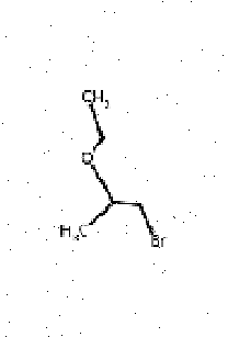 CCOC(C)CBr